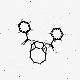 O=C(OC1C2CCCCC(CCCC2)C1OC(=O)c1ccccc1)c1ccccc1